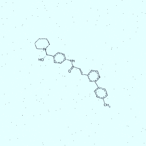 Cc1ccc(-c2cccc(/C=C/C(=O)Nc3ccc([C@H](O)N4CCCCC4)cc3)c2)cc1